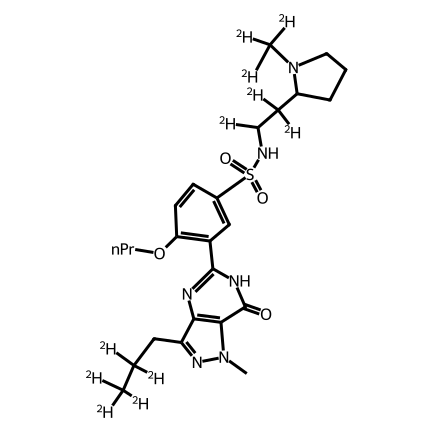 [2H]C(NS(=O)(=O)c1ccc(OCCC)c(-c2nc3c(CC([2H])([2H])C([2H])([2H])[2H])nn(C)c3c(=O)[nH]2)c1)C([2H])([2H])C1CCCN1C([2H])([2H])[2H]